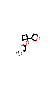 C=CC(=O)OC1(C2CCOC2)CCC1